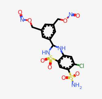 NS(=O)(=O)c1cc2c(cc1Cl)NC(c1cc(CON=O)cc(CON=O)c1)NS2(=O)=O